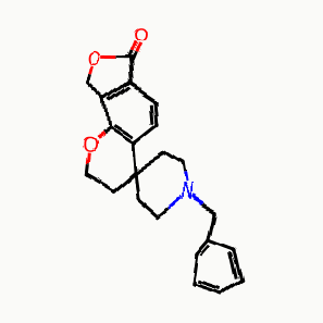 O=C1OCc2c1ccc1c2OCCC12CCN(Cc1ccccc1)CC2